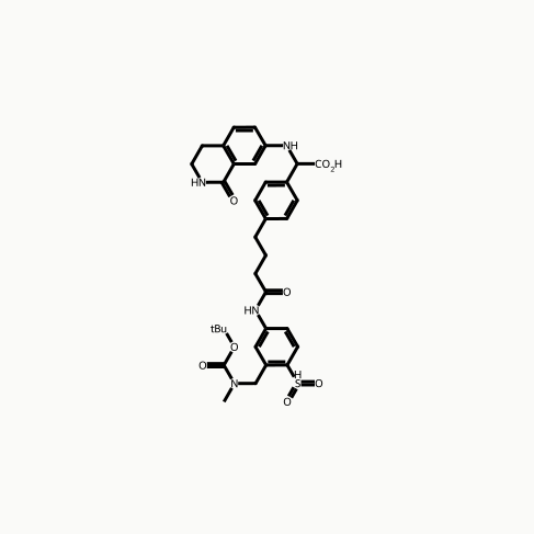 CN(Cc1cc(NC(=O)CCCc2ccc(C(Nc3ccc4c(c3)C(=O)NCC4)C(=O)O)cc2)ccc1[SH](=O)=O)C(=O)OC(C)(C)C